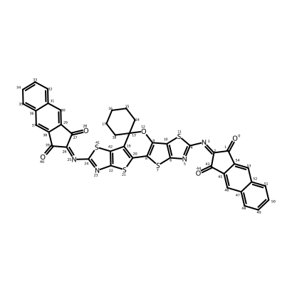 O=c1c(=Nc2nc3sc4c(c3s2)OC2(CCCCC2)c2c-4sc3nc(N=c4c(=O)c5cc6ccccc6cc5c4=O)sc23)c(=O)c2cc3ccccc3cc12